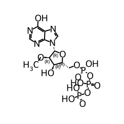 CO[C@@H]1[C@H](O)[C@@H](COP(=O)(O)OP(=O)(O)OP(=O)(O)O)O[C@H]1n1cnc2c(O)ncnc21